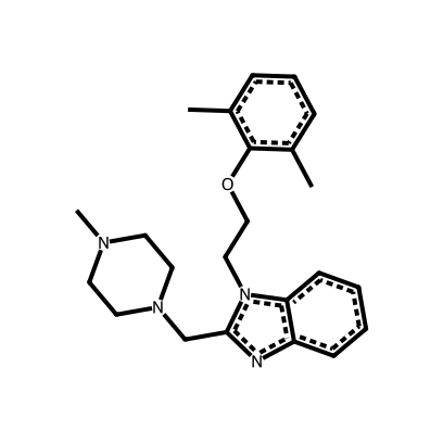 Cc1cccc(C)c1OCCn1c(CN2CCN(C)CC2)nc2ccccc21